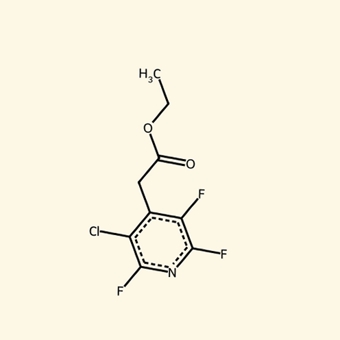 CCOC(=O)Cc1c(F)c(F)nc(F)c1Cl